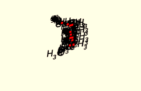 COC(=O)CCCCC(=O)N[C@H](C(=O)N[C@H](C(=O)NC(Cc1ccccc1)C(O)C(Cc1ccccc1)NC(=O)[C@@H](NC(=O)[C@@H](NC(=O)CCCCCNC(=O)OCc1ccccc1)C(C)C)C(C)C)C(C)C)C(C)C